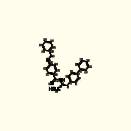 O=C(NC(Cc1ccc(-c2ccccc2)cc1)C(=O)O)c1ccc(OCc2ccccc2)cc1